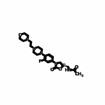 CC(=O)NC[C@H]1CN(c2ccc(N3CCN(CCN4CCOCC4)CC3)c(F)c2)C(=O)O1